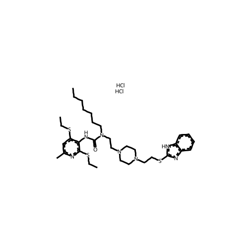 CCCCCCCN(CCN1CCN(CCSc2nc3ccccc3[nH]2)CC1)C(=O)Nc1c(SCC)cc(C)nc1SCC.Cl.Cl